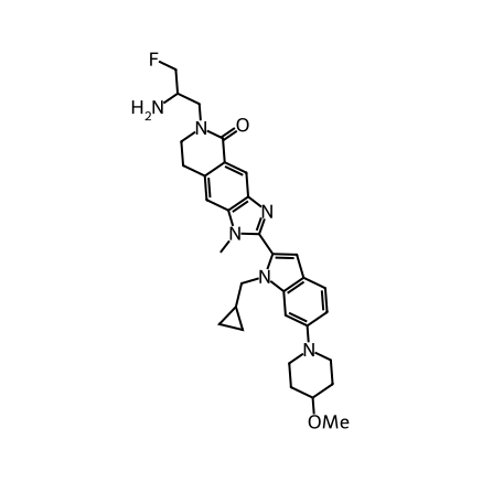 COC1CCN(c2ccc3cc(-c4nc5cc6c(cc5n4C)CCN(CC(N)CF)C6=O)n(CC4CC4)c3c2)CC1